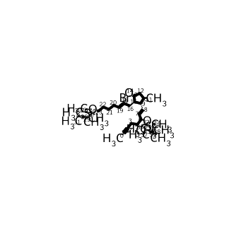 CC#CCC(C)[C@@H](/C=C/[C@H]1[C@H](C)CC(=O)[C@@H]1C/C(Br)=C/CCCCO[Si](C)(C)C(C)(C)C)O[Si](C)(C)C(C)(C)C